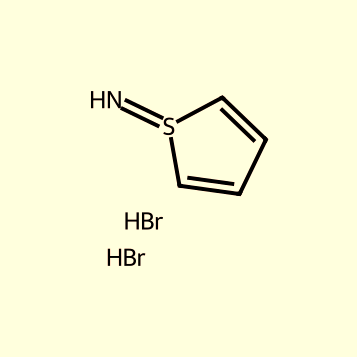 Br.Br.N=S1C=CC=C1